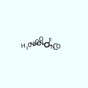 CNCC1CN(c2ccc(N3CCOCC3)c(F)c2)C(=O)O1